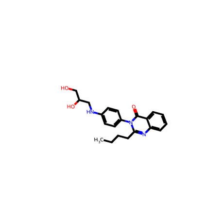 CCCCc1nc2ccccc2c(=O)n1-c1ccc(NCC(O)CO)cc1